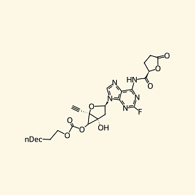 C#C[C@]12O[C@@H](n3cnc4c(NC(=O)[C@H]5CCC(=O)O5)nc(F)nc43)C[C@@]1(O)C2OC(=O)OCCCCCCCCCCCC